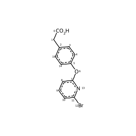 O=C(O)Cc1ccc(Oc2cccc(Br)n2)cc1